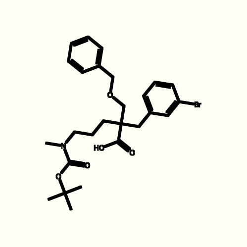 CN(CCCC(COCc1ccccc1)(Cc1cccc(Br)c1)C(=O)O)C(=O)OC(C)(C)C